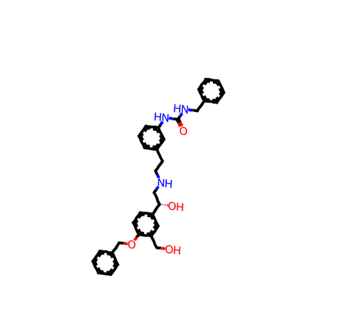 O=C(NCc1ccccc1)Nc1cccc(CCNC[C@H](O)c2ccc(OCc3ccccc3)c(CO)c2)c1